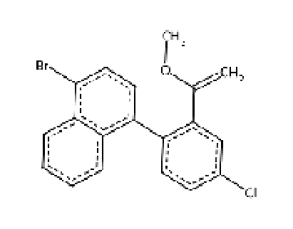 C=C(OC)c1cc(Cl)ccc1-c1ccc(Br)c2ccccc12